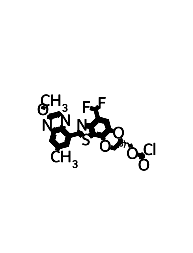 COc1cnc2c(-c3nc4c(C(F)F)cc5c(c4s3)OC[C@@H](COC(=O)Cl)O5)cc(C)cc2n1